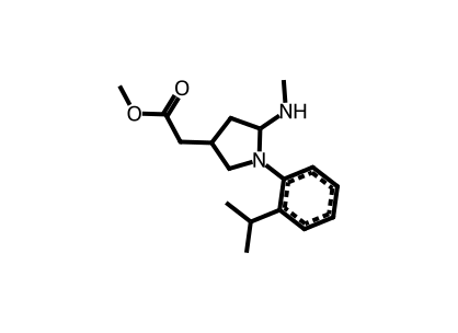 CNC1CC(CC(=O)OC)CN1c1ccccc1C(C)C